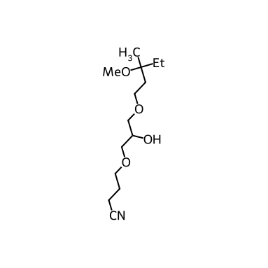 CCC(C)(CCOCC(O)COCCCC#N)OC